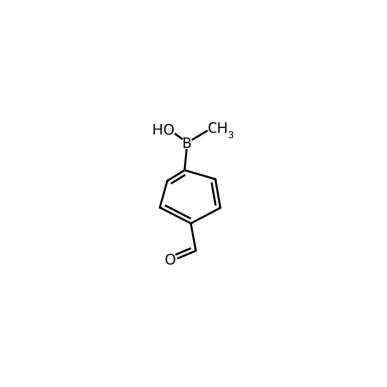 CB(O)c1ccc(C=O)cc1